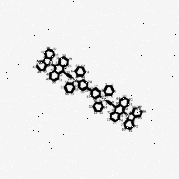 C(#C[Si](c1ccccc1)(c1ccccc1)c1ccc(-c2ccc([Si](C#Cc3c4ccccc4c(-n4c5ccccc5c5ncccc54)c4ccccc34)(c3ccccc3)c3ccccc3)cc2)cc1)c1c2ccccc2c(-n2c3ccccc3c3ccncc32)c2ccccc12